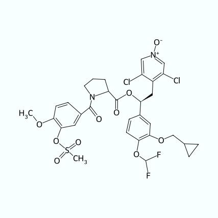 COc1ccc(C(=O)N2CCCC2C(=O)O[C@@H](Cc2c(Cl)c[n+]([O-])cc2Cl)c2ccc(OC(F)F)c(OCC3CC3)c2)cc1OS(C)(=O)=O